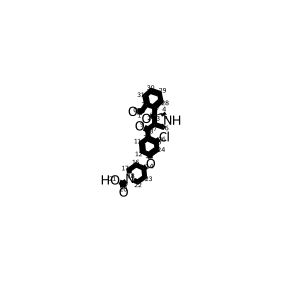 O=C1O[C@@]2(CNCC2C(=O)c2ccc(OC3CCN(C(=O)O)CC3)cc2Cl)c2ccccc21